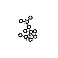 Cc1cc(-c2ccccc2)cc2c1nc1n(C3=C(c4ccccc4)CCC=C3c3ccccc3)c3ccc(-c4ccc(-c5cc(-c6ccccc6)nc(-c6ccccc6)n5)cc4-c4ccccc4)cc3n21